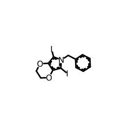 Ic1c2c(c(I)n1Cc1ccccc1)OCCO2